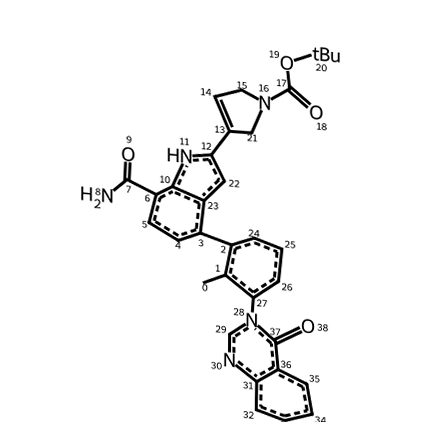 Cc1c(-c2ccc(C(N)=O)c3[nH]c(C4=CCN(C(=O)OC(C)(C)C)C4)cc23)cccc1-n1cnc2ccccc2c1=O